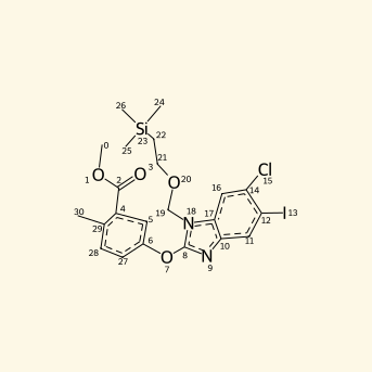 COC(=O)c1cc(Oc2nc3cc(I)c(Cl)cc3n2COCC[Si](C)(C)C)ccc1C